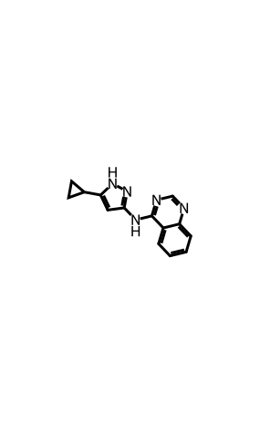 c1ccc2c(Nc3cc(C4CC4)[nH]n3)ncnc2c1